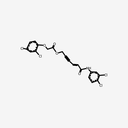 O=C(/C=C/C#CCOC(=O)COc1ccc(Cl)cc1Cl)Nc1ccc(Cl)c(Cl)c1